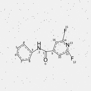 O=C(Nc1ccccc1)c1cc(F)nc(F)c1